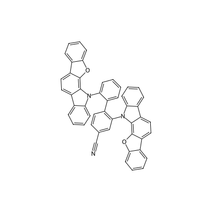 N#Cc1ccc(-c2ccccc2-n2c3ccccc3c3ccc4c5ccccc5oc4c32)c(-n2c3ccccc3c3ccc4c5ccccc5oc4c32)c1